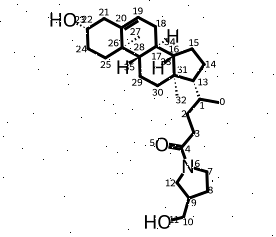 CC(CCC(=O)N1CCC(CO)C1)[C@H]1CC[C@H]2[C@@H]3CC=C4C[C@@H](O)CC[C@]4(C)[C@H]3CC[C@]12C